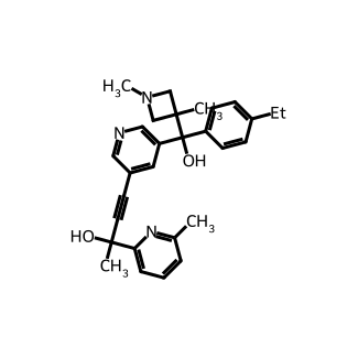 CCc1ccc(C(O)(c2cncc(C#CC(C)(O)c3cccc(C)n3)c2)C2(C)CN(C)C2)cc1